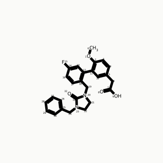 COc1ccc(CC(=O)O)cc1-c1cc(F)ccc1CN1CCN(Cc2ccccc2)C1=O